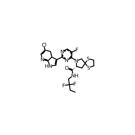 CCC(F)(F)CNC(=O)[C@H]1CC2(CN1c1nc(C3=CNC4=NC=C(Cl)CC34)ncc1F)SCCS2